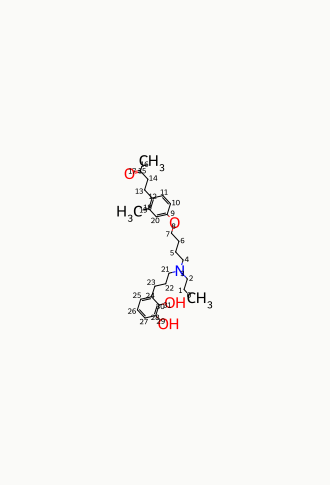 CCCN(CCCCOc1ccc(CCC(C)=O)c(C)c1)CCCc1cccc(O)c1O